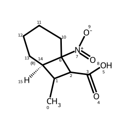 CC1C(C(=O)O)C2([N+](=O)[O-])CCCC[C@H]12